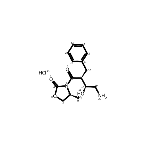 CC(C)[C@H]1COC(=O)N1C(=O)[C@@H](Cc1ccccc1)[C@H](O)CN.Cl